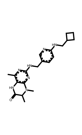 Cc1nc(NCc2ccc(NCC3CCC3)nc2)nc2c1NC(=O)C(C)N2C